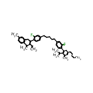 C=CC1=C(c2ccc(CCCCCc3ccc(C4=C(C(=C)C)C(=C)C=C(/C=C\C=C/C)C4)c(F)c3)cc2F)Cc2cc(C)ccc2C1=C